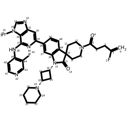 C=C(F)CCC(=O)N1CCC2(CC1)C(=O)N([C@H]1C[C@@H](N3CCCCC3)C1)c1cc(-c3cc4ncn(C(C)C)c4c(Nc4ccncc4F)n3)ccc12